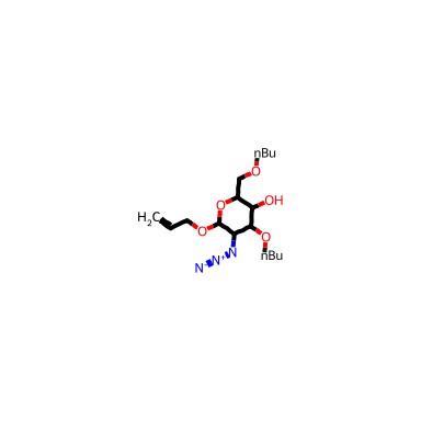 C=CCOC1OC(COCCCC)C(O)C(OCCCC)C1N=[N+]=[N-]